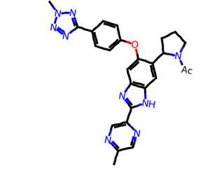 CC(=O)N1CCCC1c1cc2[nH]c(-c3cnc(C)cn3)nc2cc1Oc1ccc(-c2nnn(C)n2)cc1